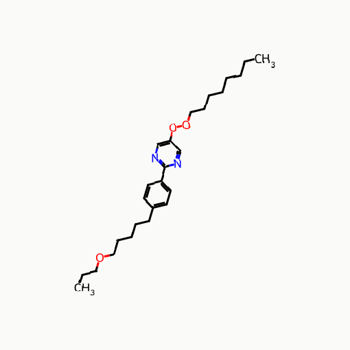 CCCCCCCCOOc1cnc(-c2ccc(CCCCCOCCC)cc2)nc1